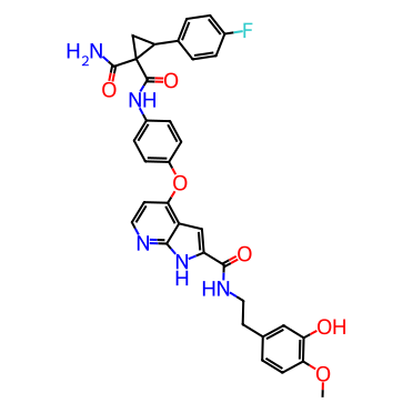 COc1ccc(CCNC(=O)c2cc3c(Oc4ccc(NC(=O)C5(C(N)=O)CC5c5ccc(F)cc5)cc4)ccnc3[nH]2)cc1O